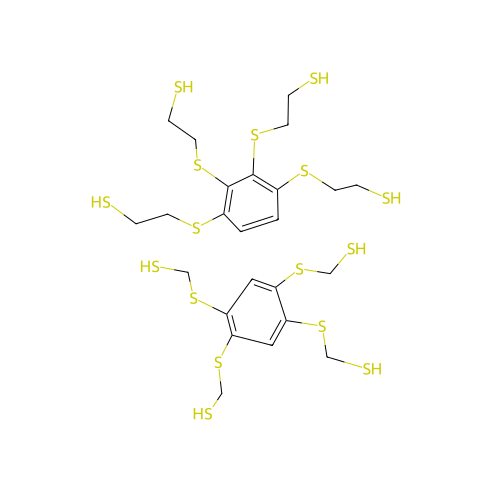 SCCSc1ccc(SCCS)c(SCCS)c1SCCS.SCSc1cc(SCS)c(SCS)cc1SCS